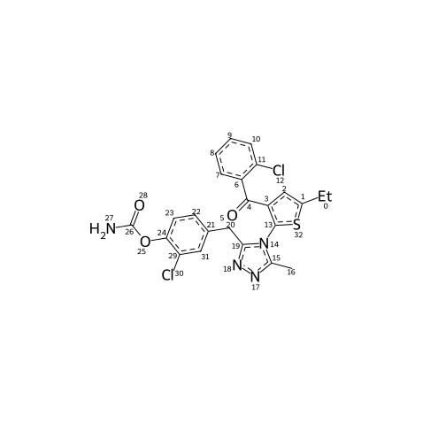 CCc1cc(C(=O)c2ccccc2Cl)c(-n2c(C)nnc2Cc2ccc(OC(N)=O)c(Cl)c2)s1